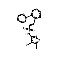 Cc1onc(NS(=O)(=O)C=Cc2ccccc2-c2ccccc2)c1Br